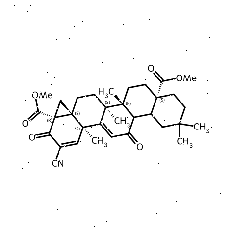 COC(=O)[C@]12CCC(C)(C)CC1C1C(=O)C=C3[C@@]4(C)C=C(C#N)C(=O)[C@@]5(C(=O)OC)C[C@]54CC[C@@]3(C)[C@]1(C)CC2